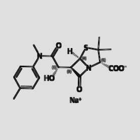 Cc1ccc(N(C)C(=O)[C@@H](O)[C@@H]2C(=O)N3[C@@H]2SC(C)(C)[C@@H]3C(=O)[O-])cc1.[Na+]